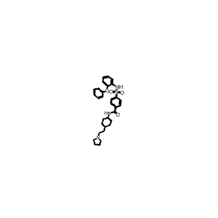 O=C(NC1CCC(CCN2CCCC2)CC1)c1ccc(S(=O)(=O)Nc2ccccc2Oc2ccccc2)cc1